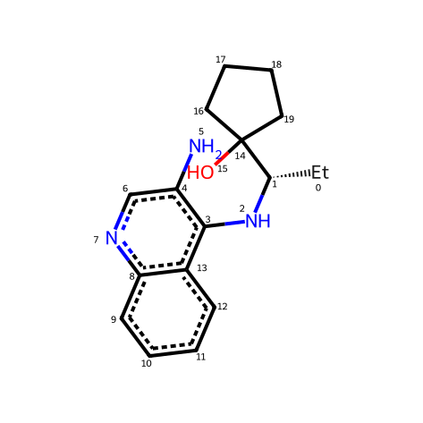 CC[C@H](Nc1c(N)cnc2ccccc12)C1(O)CCCC1